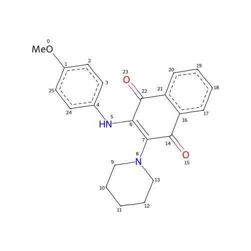 COc1ccc(NC2=C(N3CCCCC3)C(=O)c3ccccc3C2=O)cc1